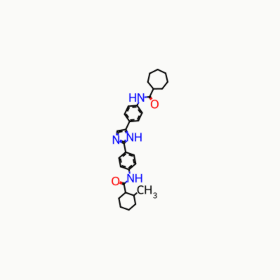 CC1CCCCC1C(=O)Nc1ccc(-c2ncc(-c3ccc(NC(=O)C4CCCCCC4)cc3)[nH]2)cc1